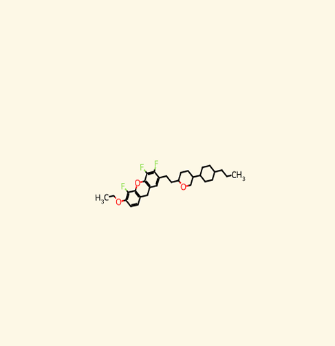 CCCC1CCC(C2CCC(CCc3cc4c(c(F)c3F)Oc3c(ccc(OCC)c3F)C4)OC2)CC1